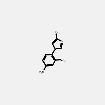 Cc1cn(-c2ccc(N)cc2C)cn1